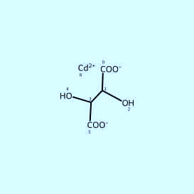 O=C([O-])C(O)C(O)C(=O)[O-].[Cd+2]